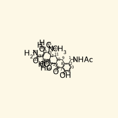 CC(=O)NCc1ccc(O)c2c1CC1CC3C(N(C)C)C(O)=C(C(N)=O)C(=O)[C@@]3(O)C(O)=C1C2=O